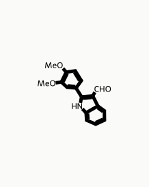 COc1ccc(-c2[nH]c3ccccc3c2C=O)cc1OC